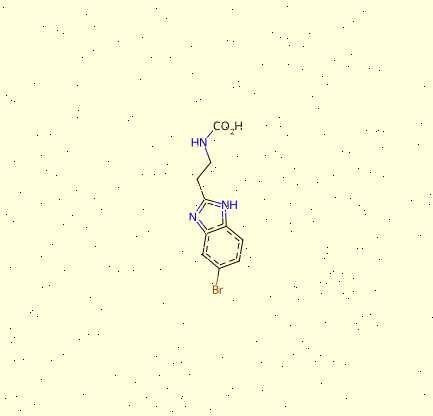 O=C(O)NCCc1nc2cc(Br)ccc2[nH]1